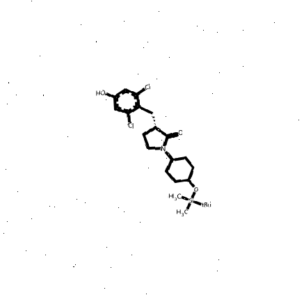 CC(C)(C)[Si](C)(C)OC1CCC(N2CC[C@H](Cc3c(Cl)cc(O)cc3Cl)C2=O)CC1